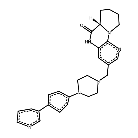 O=C1Nc2cc(CN3CCN(c4ccc(-c5cccnc5)cc4)CC3)cnc2N2CCCC[C@@H]12